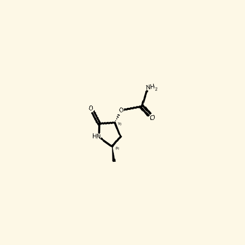 C[C@@H]1C[C@@H](OC(N)=O)C(=O)N1